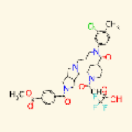 COC(=O)c1ccc(C(=O)N2CC3CN(CCCN(C(=O)C4CCN(C(C)=O)CC4)c4ccc(C)c(Cl)c4)CC3C2)cc1.O=C(O)C(F)(F)F